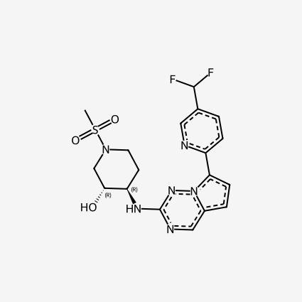 CS(=O)(=O)N1CC[C@@H](Nc2ncc3ccc(-c4ccc(C(F)F)cn4)n3n2)[C@H](O)C1